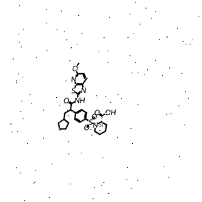 COc1ccc2nc(NC(=O)C(CC3CCCC3)c3ccc(S(=O)(=O)N4CCCC[C@H]4C(=O)O)cc3)sc2n1